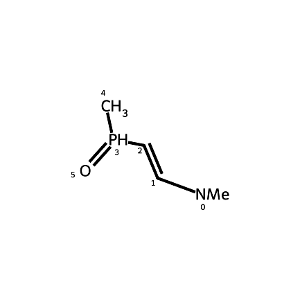 CN/C=C/[PH](C)=O